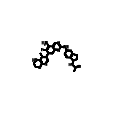 CC(=O)NC1CCc2cc(Nc3ncc4c(N)c(F)c(-c5cnc6c(c5C)NCCO6)cc4n3)ccc21